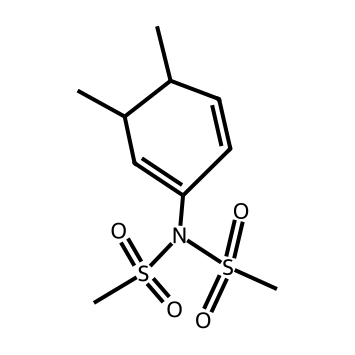 CC1C=CC(N(S(C)(=O)=O)S(C)(=O)=O)=CC1C